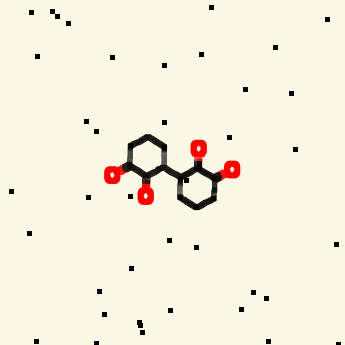 O=C1CCCC(C2CCCC(=O)C2=O)C1=O